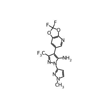 Cn1ccc(-n2nc(C(F)(F)F)c(-c3cnc4c(c3)OC(F)(F)O4)c2N)n1